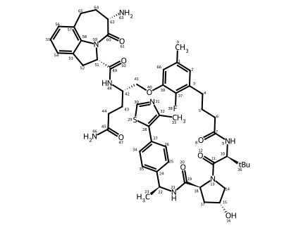 Cc1cc(CCCC(=O)N[C@H](C(=O)N2C[C@H](O)C[C@H]2C(=O)N[C@@H](C)c2ccc(-c3scnc3C)cc2)C(C)(C)C)c(F)c(OC[C@H](CCC(N)=O)NC(=O)[C@@H]2Cc3cccc4c3N2C(=O)[C@@H](N)CC4)c1